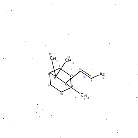 CC(=O)/C=C/C1C2(C)CCC(CC2)C1(C)C